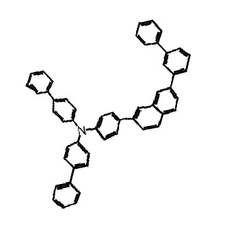 c1ccc(-c2ccc(N(c3ccc(-c4ccccc4)cc3)c3ccc(-c4ccc5ccc(-c6cccc(-c7ccccc7)c6)cc5c4)cc3)cc2)cc1